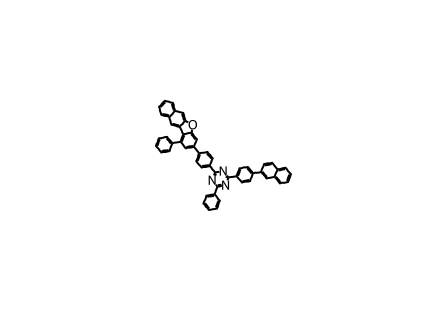 c1ccc(-c2nc(-c3ccc(-c4ccc5ccccc5c4)cc3)nc(-c3ccc(-c4cc(-c5ccccc5)c5c(c4)oc4cc6ccccc6cc45)cc3)n2)cc1